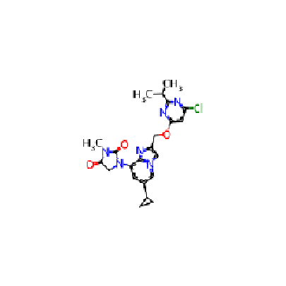 CC(C)c1nc(Cl)cc(OCc2cn3cc(C4CC4)cc(N4CC(=O)N(C)C4=O)c3n2)n1